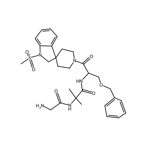 CC(C)(NC(=O)CN)C(=O)NC(COCc1ccccc1)C(=O)N1CCC2(CC1)CN(S(C)(=O)=O)c1ccccc12